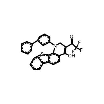 O=C(C1=C(O)c2ccc3c(sc4ccccc43)c2N(c2cccc(-c3ccccc3)c2)C1)C(F)(F)F